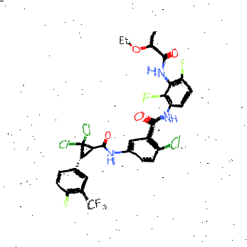 CCOC(C)C(=O)Nc1c(F)ccc(NC(=O)c2cc(NC(=O)C3[C@H](c4ccc(F)c(C(F)(F)F)c4)C3(Cl)Cl)ccc2Cl)c1F